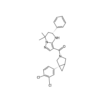 CC1(C)C[C@H](c2ccccc2)Nc2c(C(=O)N3CC4C[C@@]4(c4ccc(Cl)c(Cl)c4)C3)cnn21